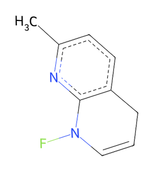 Cc1ccc2c(n1)N(F)C=CC2